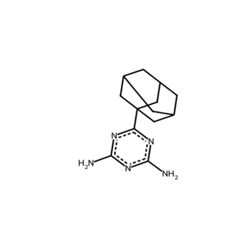 Nc1nc(N)nc(C23CC4CC(CC(C4)C2)C3)n1